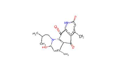 CC1=CC(O)N(CC(C)C)C2=C1C(=O)c1c(C)cc(=O)[nH]c1C2=O